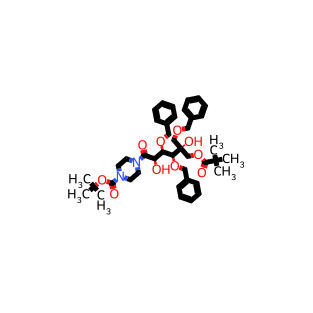 CC(C)(C)OC(=O)N1CCN(C(=O)[C@H](O)[C@@H](OCc2ccccc2)[C@H](OCc2ccccc2)[C@@](O)(COCc2ccccc2)COC(=O)C(C)(C)C)CC1